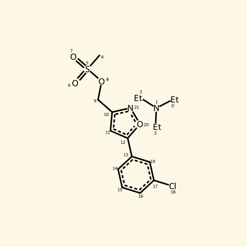 CCN(CC)CC.CS(=O)(=O)OCc1cc(-c2cccc(Cl)c2)on1